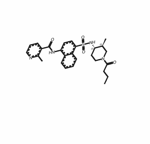 CCCC(=O)N1CC[C@H](NS(=O)(=O)c2ccc(NC(=O)c3cccnc3C)c3ccccc23)[C@@H](C)C1